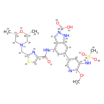 COc1ncc(-c2cc(NC(=O)c3csc(CN4C[C@@H](C)O[C@@H](C)C4)n3)c3cn[nH]c3c2)cc1NS(C)(=O)=O.O=CO